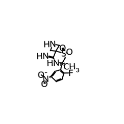 C[C@@]1(c2cc([N+](=O)[O-])ccc2F)CS(=O)(=O)C2(CNC2)C(=N)N1